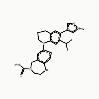 CNC(=O)N1CCNc2ccc(N3CCCc4cc(-c5cnn(C)c5)c(C(F)F)cc43)cc2C1